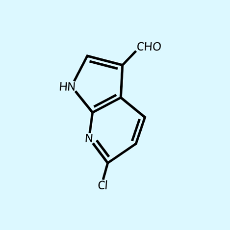 O=Cc1c[nH]c2nc(Cl)ccc12